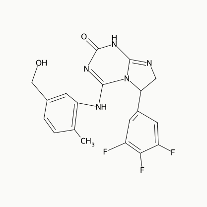 Cc1ccc(CO)cc1NC1=NC(=O)NC2=NCC(c3cc(F)c(F)c(F)c3)N21